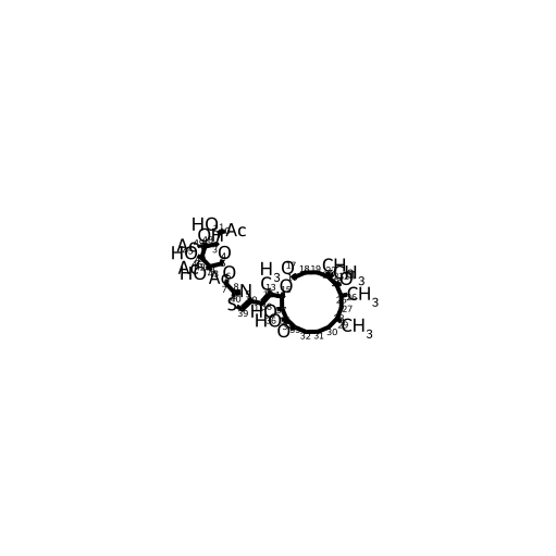 CC(=O)C(O)[C@H]1O[C@H](OCc2nc(C=C(C)C3OC(=O)CCC(C)(C)C(=O)C(C)CC(C)CCCC4OC4(O)C3O)cs2)[C@@](O)(C(C)=O)[C@](O)(C(C)=O)[C@@]1(O)C(C)=O